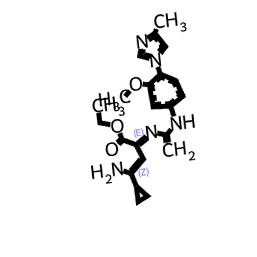 C=C(/N=C(\C=C(/N)C1CC1)C(=O)OCC)Nc1ccc(-n2cnc(C)c2)c(OC)c1